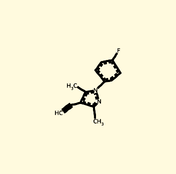 C#Cc1c(C)nn(-c2ccc(F)cc2)c1C